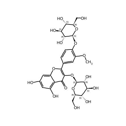 COc1cc(-c2oc3cc(O)cc(O)c3c(=O)c2O[C@@H]2O[C@H](CO)[C@@H](O)[C@H](O)[C@H]2O)ccc1O[C@@H]1O[C@H](CO)[C@@H](O)[C@H](O)[C@H]1O